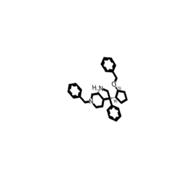 NCC(c1ccccc1)(C1CCN(Cc2ccccc2)CC1)[C@H]1CCC[C@@H]1OCc1ccccc1